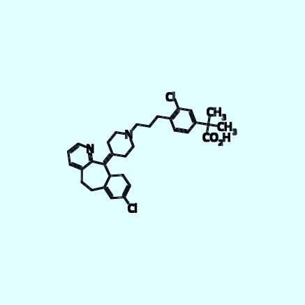 CC(C)(C(=O)O)c1ccc(CCCN2CCC(=C3c4ncccc4CCC4=CC(Cl)=CCC43)CC2)c(Cl)c1